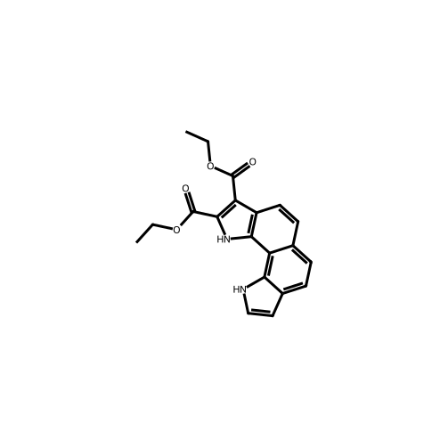 CCOC(=O)c1[nH]c2c(ccc3ccc4cc[nH]c4c32)c1C(=O)OCC